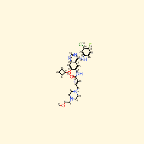 COCCN1CCN(C/C=C/C(=O)Nc2cc3c(Nc4ccc(F)c(Cl)c4)ncnc3cc2OC2CCC2)CC1